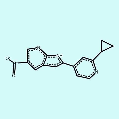 O=[N+]([O-])c1cnc2[nH]c(-c3ccnc(C4CC4)c3)cc2c1